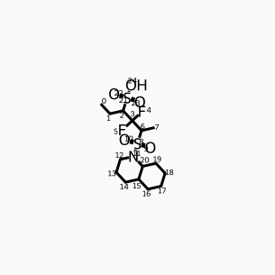 CCC(C(F)(F)C(C)S(=O)(=O)N1CCCC2CCCCC21)S(=O)(=O)O